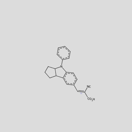 [C-]#[N+]/C(=C\c1ccc2c(c1)C1CCCC1N2c1ccccc1)C(=O)O